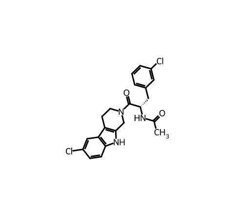 CC(=O)N[C@@H](Cc1cccc(Cl)c1)C(=O)N1CCc2c([nH]c3ccc(Cl)cc23)C1